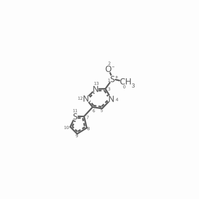 C[S+]([O-])c1ncc(-c2cccs2)nn1